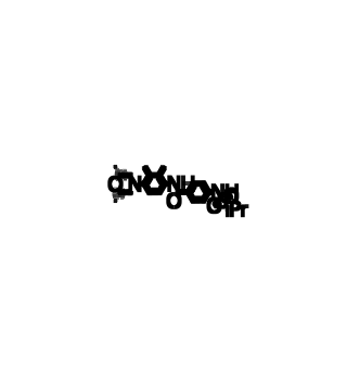 Cc1c(NC(=O)c2ccc(NS(=O)(=O)C(C)C)cc2)ccc(N2C[C@@H](C)O[C@@H](C)C2)c1C